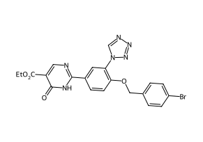 CCOC(=O)c1cnc(-c2ccc(OCc3ccc(Br)cc3)c(-n3cnnn3)c2)[nH]c1=O